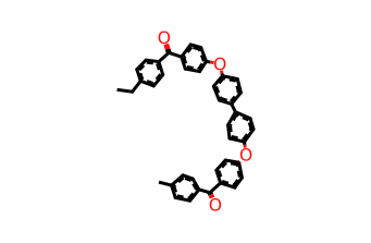 CCc1ccc(C(=O)c2ccc(Oc3ccc(-c4ccc(Oc5ccc(C(=O)c6ccc(C)cc6)cc5)cc4)cc3)cc2)cc1